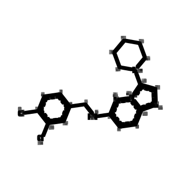 Clc1ccc(CNc2ccc3ncc(N4CCCCC4)n3n2)cc1Cl